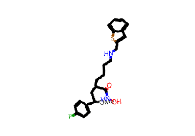 COC(CC(CCCCNCc1cc2ccccc2s1)C(=O)NO)c1ccc(F)cc1